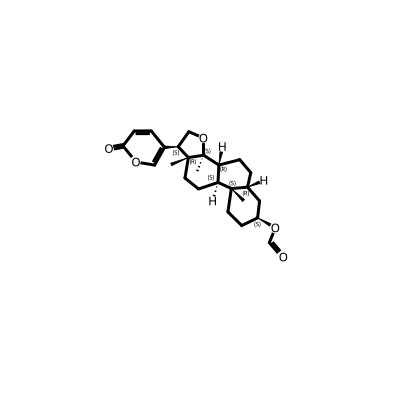 C[C@]12CC[C@H](OC=O)C[C@H]1CC[C@@H]1[C@@H]2CC[C@]2(C)[C@@H](c3ccc(=O)oc3)CO[C@@]12C